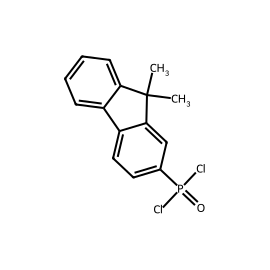 CC1(C)c2ccccc2-c2ccc(P(=O)(Cl)Cl)cc21